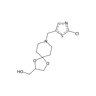 OCC1COC2(CCN(Cc3cnc(Cl)s3)CC2)O1